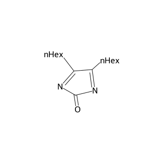 CCCCCCC1=NC(=O)N=C1CCCCCC